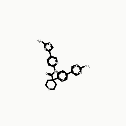 Cc1nc(-c2ccc(NC(=O)C3(c4ccc(-c5cnc(N)nc5)cn4)CCOCC3)nc2)cs1